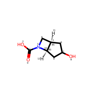 O=C(O)N1C[C@H]2CC(O)C[C@H]21